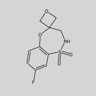 O=S1(=O)NCC2(COC2)Oc2ccc(F)cc21